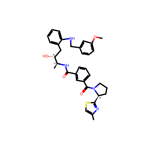 COc1cccc(CNc2ccccc2C[C@@H](O)[C@H](C)NC(=O)c2cccc(C(=O)N3CCC[C@H]3c3nc(C)cs3)c2)c1